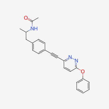 CC(=O)NC(C)Cc1ccc(C#Cc2ccc(Oc3ccccc3)nn2)cc1